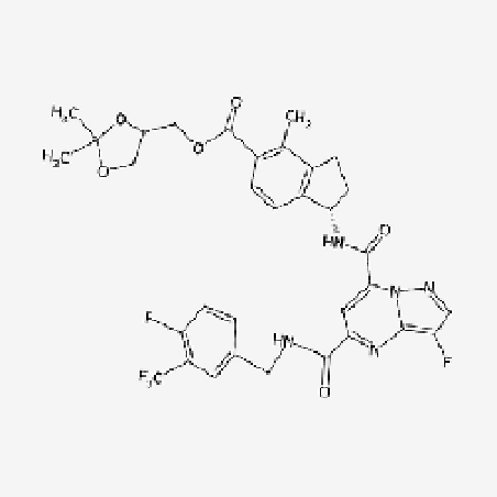 Cc1c(C(=O)OCC2COC(C)(C)O2)ccc2c1CC[C@@H]2NC(=O)c1cc(C(=O)NCc2ccc(F)c(C(F)(F)F)c2)nc2c(F)cnn12